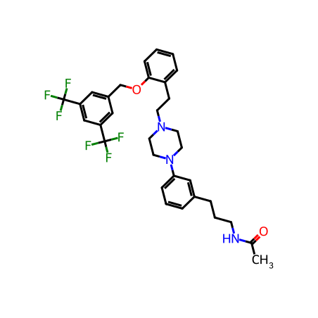 CC(=O)NCCCc1cccc(N2CCN(CCc3ccccc3OCc3cc(C(F)(F)F)cc(C(F)(F)F)c3)CC2)c1